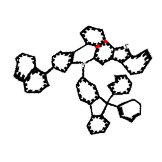 C1=CCCC(C2(c3ccccc3)c3ccccc3-c3ccc(N(c4ccc5sc6ccccc6c5c4)c4cc(-c5cccc6ccccc56)ccc4-c4ccccc4)cc32)=C1